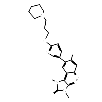 CC(C)n1c(=O)n(C)c2nnc3cc(F)c(-c4ccc(OCCCN5CCCCC5)nc4)cc3c21